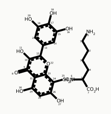 NCCCCC(N)C(=O)O.O=c1c(O)c(-c2cc(O)c(O)c(O)c2)oc2c(S(=O)(=O)O)c(O)cc(O)c12